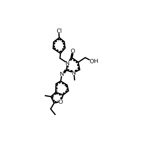 CCc1oc2ccc(/N=c3\n(C)cc(CO)c(=O)n3Cc3ccc(Cl)cc3)cc2c1C